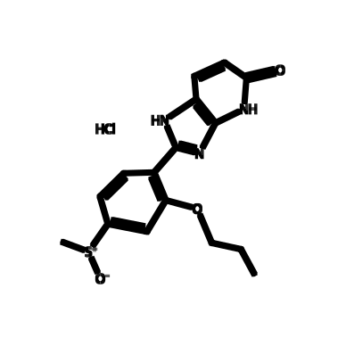 CCCOc1cc([S+](C)[O-])ccc1-c1nc2[nH]c(=O)ccc2[nH]1.Cl